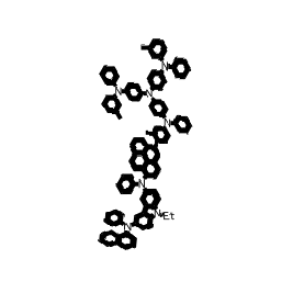 CCn1c2ccc(N(c3ccccc3)c3cccc4ccccc34)cc2c2cc(N(c3ccccc3)c3ccc4cc(-c5ccc(N(c6ccccc6)c6ccc(N(c7ccc(N(c8ccccc8)c8cccc(C)c8)cc7)c7ccc(N(c8ccccc8)c8cccc(C)c8)cc7)cc6)cc5C)c5cccc6ccc3c4c65)ccc21